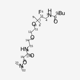 CCC(C)C(=O)NCC(F)C(C)(C)OCCOCCNC(=O)CON(C)C